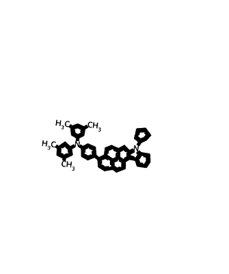 Cc1cc(C)cc(N(c2ccc(-c3ccc4ccc5c6c(ccc3c46)cc3c5c4ccccc4n3-c3ccccc3)cc2)c2cc(C)cc(C)c2)c1